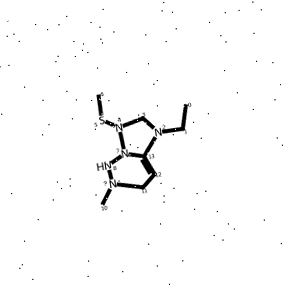 CCN1CN(SC)N2NN(C)CC=C12